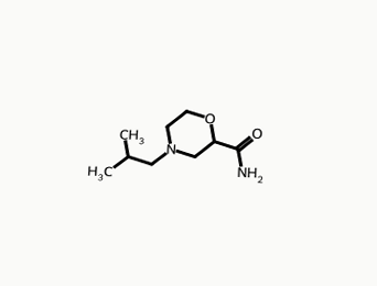 CC(C)CN1CCOC(C(N)=O)C1